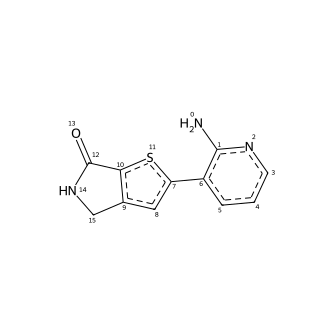 Nc1ncccc1-c1cc2c(s1)C(=O)NC2